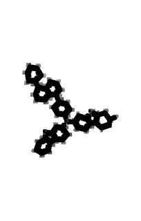 CC1C=Cc2c(sc3cc(N(c4ccc(-c5cccc6c(-c7ccccc7)cccc56)cc4)c4ccc5c(c4)sc4ccccc45)ccc23)C1